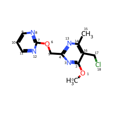 COc1nc(COc2ncccn2)nc(C)c1CCl